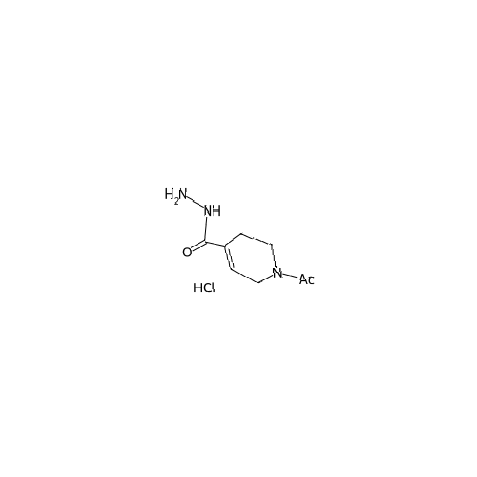 CC(=O)N1CC=C(C(=O)NN)CC1.Cl